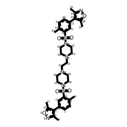 Cc1ccc(-c2c(C)noc2C)cc1S(=O)(=O)N1CCN(CCN2CCN(S(=O)(=O)c3cc(-c4c(C)noc4C)ccc3C)CC2)CC1